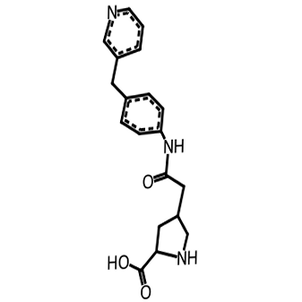 O=C(CC1CNC(C(=O)O)C1)Nc1ccc(Cc2cccnc2)cc1